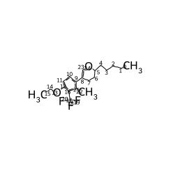 CCCCCC1CCC(c2ccc(OCC)c(C(F)(F)F)c2C)=CO1